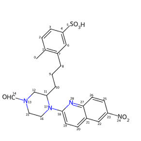 Cc1ccc(S(=O)(=O)O)cc1CCCC1CN(C=O)CCN1c1ccc2cc([N+](=O)[O-])ccc2n1